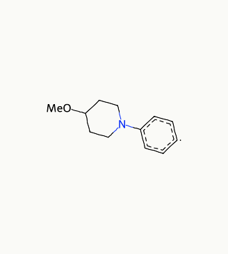 COC1CCN(c2cc[c]cc2)CC1